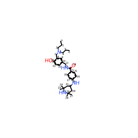 CCCN(CCC)Cc1cc(CNC(=O)c2ccc(NC3CC(C)(C)NC(C)(C)C3)cc2)ccc1O